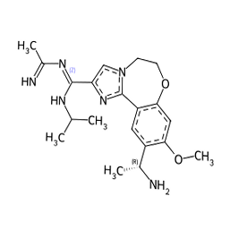 COc1cc2c(cc1[C@@H](C)N)-c1nc(/C(=N/C(C)=N)NC(C)C)cn1CCO2